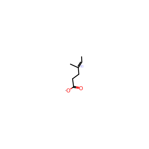 C/C=C(\C)CCC([O])=O